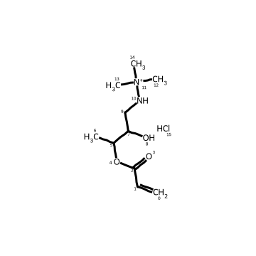 C=CC(=O)OC(C)C(O)CN[N+](C)(C)C.Cl